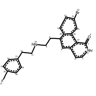 O=c1[nH]ccc2cc(CCNCCc3ccc(F)cc3)c3ccc(Br)cc3c12